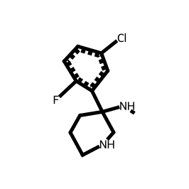 CNC1(c2cc(Cl)ccc2F)CCCNC1